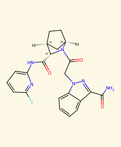 NC(=O)c1nn(CC(=O)N2[C@@H]3CC[C@@H](C3)[C@H]2C(=O)Nc2cccc(F)n2)c2ccccc12